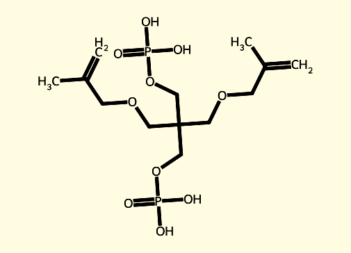 C=C(C)COCC(COCC(=C)C)(COP(=O)(O)O)COP(=O)(O)O